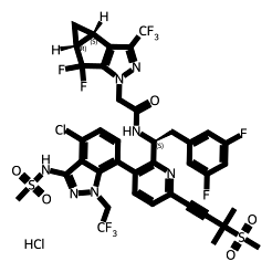 CC(C)(C#Cc1ccc(-c2ccc(Cl)c3c(NS(C)(=O)=O)nn(CC(F)(F)F)c23)c([C@H](Cc2cc(F)cc(F)c2)NC(=O)Cn2nc(C(F)(F)F)c3c2C(F)(F)[C@@H]2C[C@H]32)n1)S(C)(=O)=O.Cl